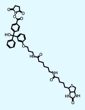 O=C(CCCCC1SCC2NC(=O)NC21)NCCCCCC(=O)NCCCOc1cccc(C(O)(c2ccccc2)c2ccc(C(=O)ON3C(=O)CCC3=O)cc2)c1